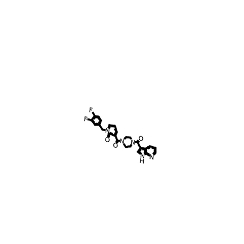 O=C(c1cccn(Cc2ccc(F)c(F)c2)c1=O)N1CCN(C(=O)c2c[nH]c3ncccc23)CC1